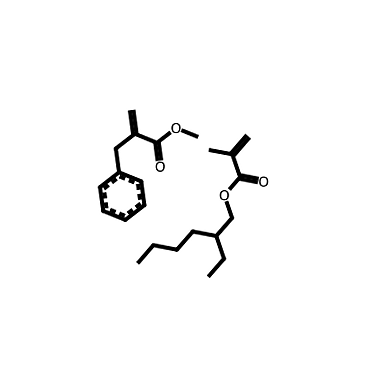 C=C(C)C(=O)OCC(CC)CCCC.C=C(Cc1ccccc1)C(=O)OC